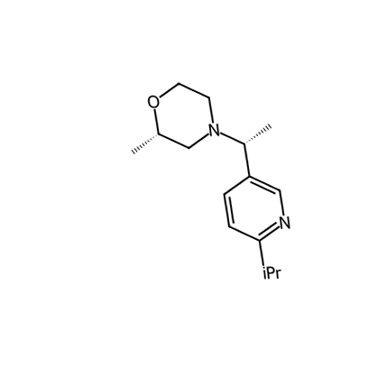 CC(C)c1ccc([C@@H](C)N2CCO[C@@H](C)C2)cn1